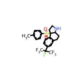 Cc1ccc(S(=O)(=O)C23CCNC2CCc2cc(C(F)(C(F)(F)F)C(F)(F)F)ccc23)cc1